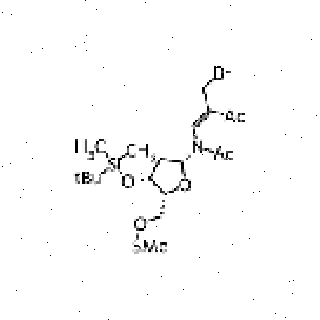 CSOC[C@H]1O[C@@H](N(/C=C(/CBr)C(C)=O)C(C)=O)C[C@H]1O[Si](C)(C)C(C)(C)C